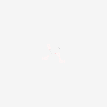 O=[Si](O)OO.[Ni]